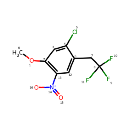 COc1cc(Cl)c(CC(F)(F)F)cc1[N+](=O)[O-]